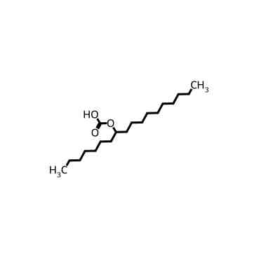 CCCCCCCCCCC(CCCCCCC)OC(=O)O